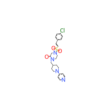 O=C1CN(S(=O)(=O)C=Cc2ccc(Cl)cc2)CCN1CC1CCN(c2ccncc2)CC1